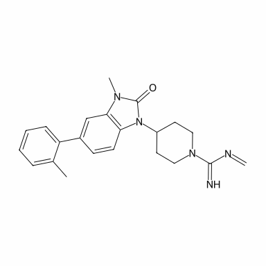 C=NC(=N)N1CCC(n2c(=O)n(C)c3cc(-c4ccccc4C)ccc32)CC1